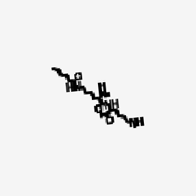 CCCCCC(=O)NCCCCC(NC)C(=O)NC(CCCCNC)C(=O)I